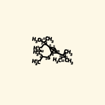 CC(C)SC12C3C1([Si](C)(C)C)C32[Si](C)(C)C